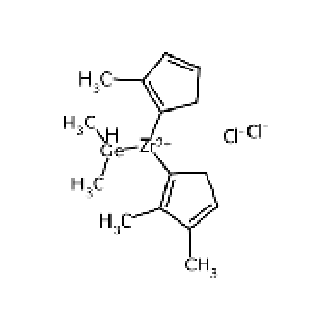 CC1=CC[C]([Zr+2]([C]2=C(C)C=CC2)[GeH]([CH3])[CH3])=C1C.[Cl-].[Cl-]